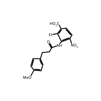 CCc1c(C(=O)O)ccc([N+](=O)[O-])c1NC(=O)CCc1ccc(OC)cc1